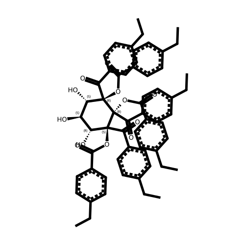 CCc1ccc(C(=O)O[C@@]2(C(=O)c3ccc(CC)cc3)[C@@](OC(=O)c3ccc(CC)cc3)(C(=O)c3ccc(CC)cc3)[C@@H](O)[C@H](O)[C@@H](O)[C@@]2(OC(=O)c2ccc(CC)cc2)C(=O)c2ccc(CC)cc2)cc1